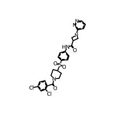 O=C(Nc1ccc(S(=O)(=O)C2CCN(C(=O)c3ccc(Cl)cc3Cl)CC2)cc1)C1CN(c2cccnn2)C1